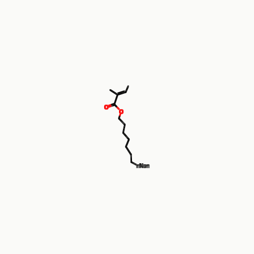 CC=C(C)C(=O)OCCCCCCCCCCCCCCCC